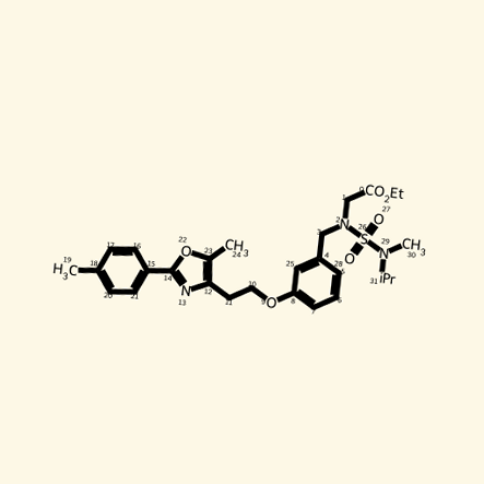 CCOC(=O)CN(Cc1cccc(OCCc2nc(-c3ccc(C)cc3)oc2C)c1)S(=O)(=O)N(C)C(C)C